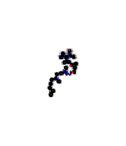 C=C(/C=C\C=C(/C)c1nc(-c2ccccc2)nc(-c2ccc(-c3cccc(-c4cc(-c5cccc(-c6ccc(-c7cccc(-c8cccc9c8sc8ccccc89)c7)cc6)c5)cc(-c5ccccc5)n4)c3)cc2)n1)c1cccc(-c2ccc3c4ccccc4c4cc(-c5ccc6c(c5)c5ccccc5n6-c5cc(-c6nc(-c7ccccc7)cc(-c7ccccc7)n6)cc(-n6c7ccccc7c7ccccc76)c5)ccc4c3c2)c1